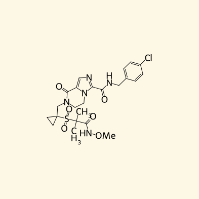 CONC(=O)C(C)(C)S(=O)(=O)C1(CN2CCn3c(cnc3C(=O)NCc3ccc(Cl)cc3)C2=O)CC1